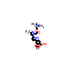 CCS(=O)(=O)c1cc(-c2ccc(-c3cc(C(F)(F)F)nn3CC(=O)OCCN(C)C)[nH]2)ccc1CO